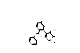 COC1=C(c2cc(F)ccc2C(=O)Oc2ccccc2)C(OC)C(C(C)=O)N(C)C1